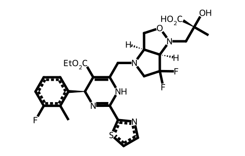 CCOC(=O)C1=C(CN2CC(F)(F)[C@H]3[C@@H]2CON3C[C@@](C)(O)C(=O)O)NC(c2nccs2)=N[C@H]1c1cccc(F)c1C